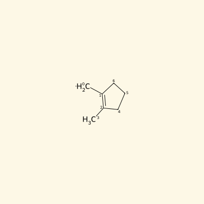 [CH2]C1=C(C)CCC1